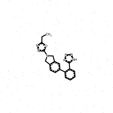 CCc1nnc(N2Cc3ccc(-c4ccccc4-c4nnn[nH]4)cc3C2)o1